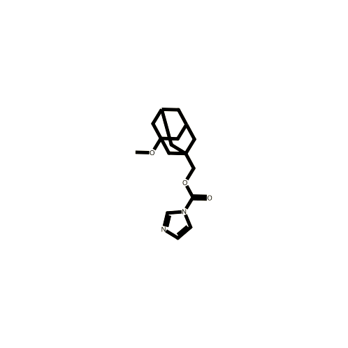 COC12CC3CC(CC(COC(=O)n4ccnc4)(C3)C1)C2